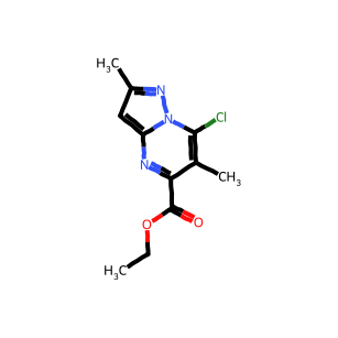 CCOC(=O)c1nc2cc(C)nn2c(Cl)c1C